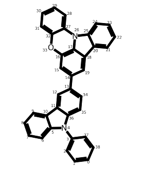 c1ccc(-n2c3ccccc3c3cc(-c4cc5c6c(c4)c4ccccc4n6-c4ccccc4O5)ccc32)cc1